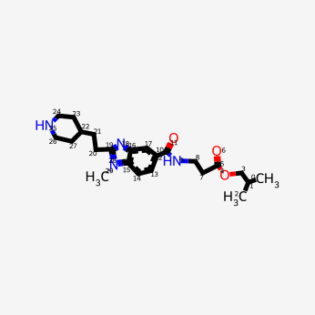 CC(C)COC(=O)CCNC(=O)c1ccc2c(c1)nc(CCC1CCNCC1)n2C